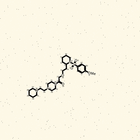 COc1ccc(S(=O)(=O)N2CCCCC2CCOCC(=O)N2CCN(CCN3CCCCC3)CC2)cc1